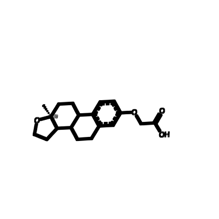 C[C@]12CCC3c4ccc(OCC(=O)O)cc4CCC3C1CCO2